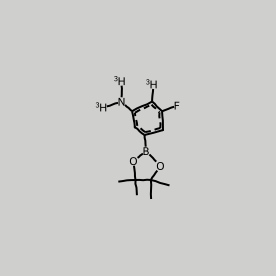 [3H]c1c(F)cc(B2OC(C)(C)C(C)(C)O2)cc1N([3H])[3H]